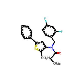 COCC(=O)N(Cc1ccc(F)cc1F)c1cc(-c2ccccc2)sc1C(=O)O